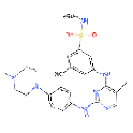 Cc1cnc(Nc2ccc(N3CCN(C)CC3)cc2)nc1Nc1cc(C#N)cc(S(=O)(=O)NC(C)(C)C)c1